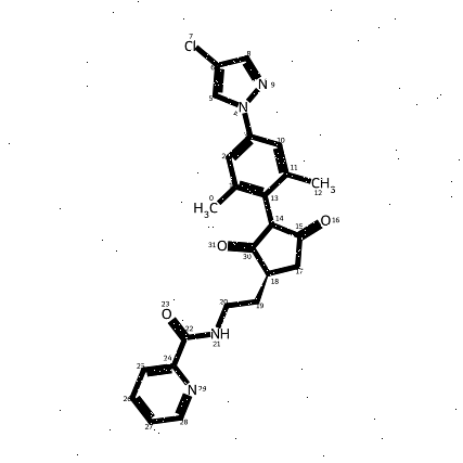 Cc1cc(-n2cc(Cl)cn2)cc(C)c1C1C(=O)C[C@@H](CCNC(=O)c2ccccn2)C1=O